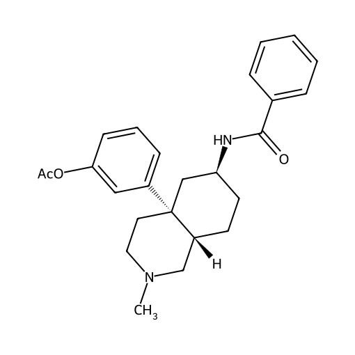 CC(=O)Oc1cccc([C@@]23CCN(C)C[C@H]2CC[C@H](NC(=O)c2ccccc2)C3)c1